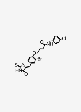 O=C(CCCOc1ccc(/C=C2\SC(=S)NC2=O)cc1Br)NCc1ccc(Cl)cc1